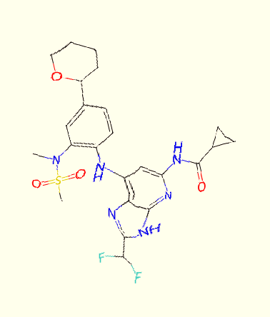 CN(c1cc(C2CCCCO2)ccc1Nc1cc(NC(=O)C2CC2)nc2[nH]c(C(F)F)nc12)S(C)(=O)=O